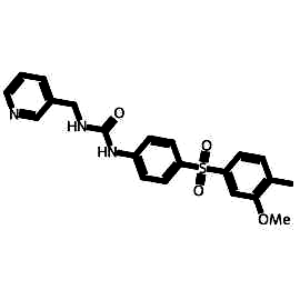 COc1cc(S(=O)(=O)c2ccc(NC(=O)NCc3cccnc3)cc2)ccc1C